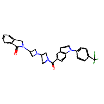 O=C(c1ccc2c(ccn2-c2ccc(C(F)(F)F)cc2)c1)N1CC(N2CC(N3Cc4ccccc4C3=O)C2)C1